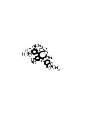 COC1=CC(C2c3cc4c(cc3C(OC3CC5COC(C)OC5CC3O)CCOC(=O)C2C)OCO4)CC(OC)=C1O